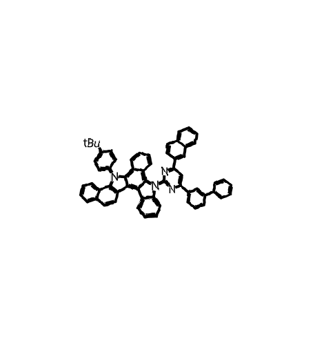 CC(C)(C)c1ccc(-n2c3c4ccccc4ccc3c3c4c5ccccc5n(-c5nc(-c6cccc(-c7ccccc7)c6)cc(-c6ccc7ccccc7c6)n5)c4c4ccccc4c32)cc1